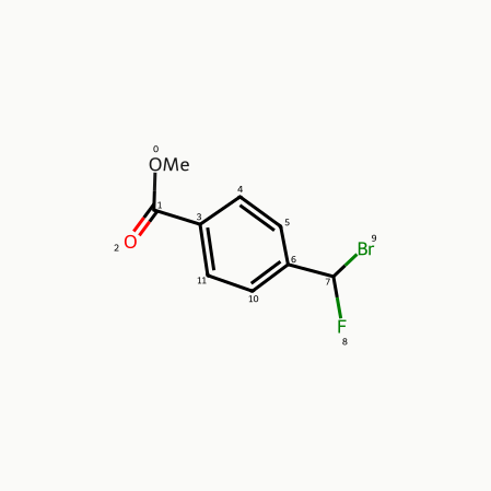 COC(=O)c1ccc(C(F)Br)cc1